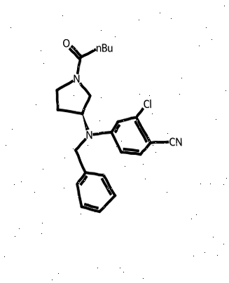 CCCCC(=O)N1CC[C@H](N(Cc2ccccc2)c2ccc(C#N)c(Cl)c2)C1